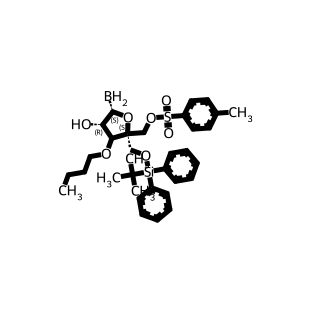 B[C@@H]1O[C@@](CO[Si](c2ccccc2)(c2ccccc2)C(C)(C)C)(COS(=O)(=O)c2ccc(C)cc2)C(OCCCC)[C@@H]1O